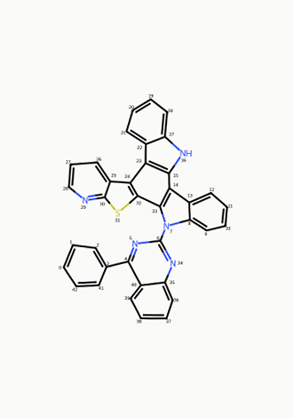 c1ccc(-c2nc(-n3c4ccccc4c4c5[nH]c6ccccc6c5c5c6cccnc6sc5c43)nc3ccccc23)cc1